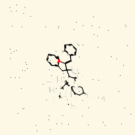 CCC(Cc1ccccc1)(C1=Cc2ccccc2OCC1)C(NC(=O)C(C)(C)NC(=O)OC(C)(C)C)C(=O)N1CCCC(C(=O)O)C1